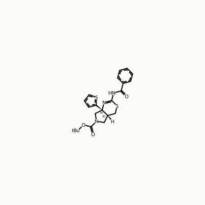 CC(C)(C)OC(=O)N1C[C@H]2CSC(NC(=O)c3ccccc3)=N[C@@]2(c2cccs2)C1